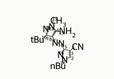 CCCCn1cc(C#N)c(N=Nc2c(C(C)(C)C)nn(C)c2N)n1